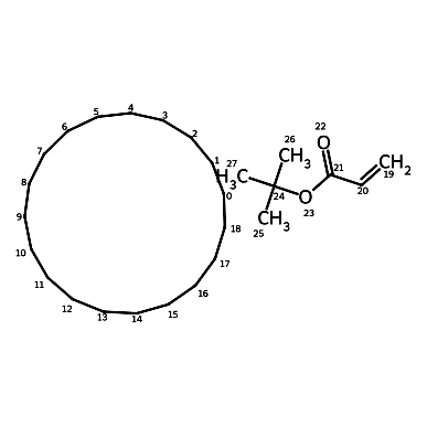 C1CCCCCCCCCCCCCCCCCC1.C=CC(=O)OC(C)(C)C